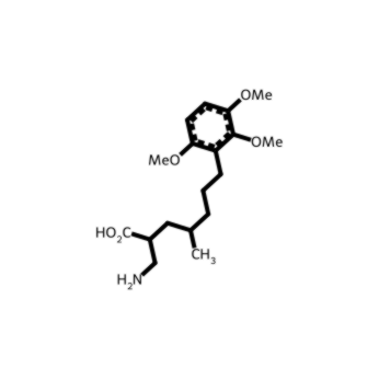 COc1ccc(OC)c(OC)c1CCCC(C)CC(CN)C(=O)O